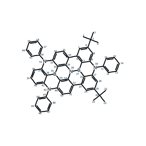 CC(C)(C)c1cc2c3c(c1)N(c1ccccc1)c1cc(C(C)(C)C)cc4c1B3N1c3c-2ccc2c3B3c5c(cccc5N(c5ccccc5)c5ccc-4c1c53)N2c1ccccc1